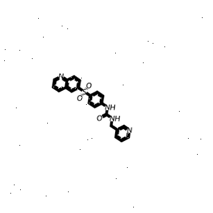 O=C(NCc1cccnc1)Nc1ccc(S(=O)(=O)c2ccc3ncccc3c2)cc1